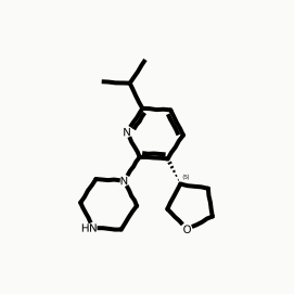 CC(C)c1ccc([C@@H]2CCOC2)c(N2CCNCC2)n1